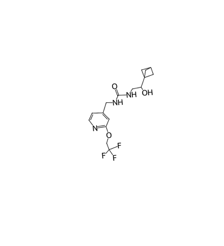 O=C(NCc1ccnc(OCC(F)(F)F)c1)NCC(O)C12CC(C1)C2